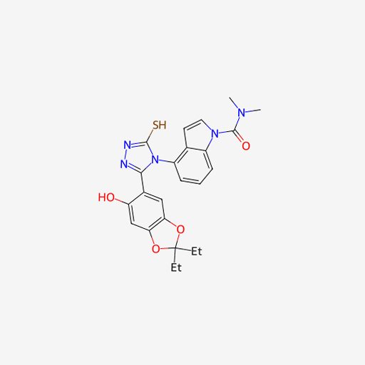 CCC1(CC)Oc2cc(O)c(-c3nnc(S)n3-c3cccc4c3ccn4C(=O)N(C)C)cc2O1